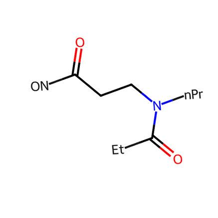 CCCN(CCC(=O)N=O)C(=O)CC